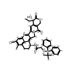 CC[C@@]1(O)C(=O)OCc2c1cc1n(c2=O)Cc2c-1nc1cc(Cl)c(C)c3c1c2[C@@H](NC(=O)CO[Si](c1ccccc1)(c1ccccc1)C(C)(C)C)CC3